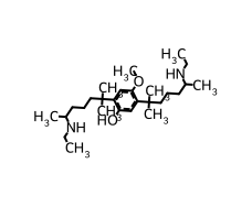 CCNC(C)CCCC(C)(C)c1cc(OC)c(C(C)(C)CCCC(C)NCC)cc1O